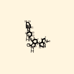 Cn1ccc2c(-c3ccc(Nc4ccc(N5CC6CCC(C5)N6)cn4)c4c3CNC4=O)ccnc21